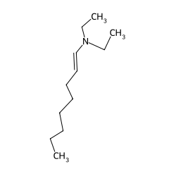 CCCCCCC=CN(CC)CC